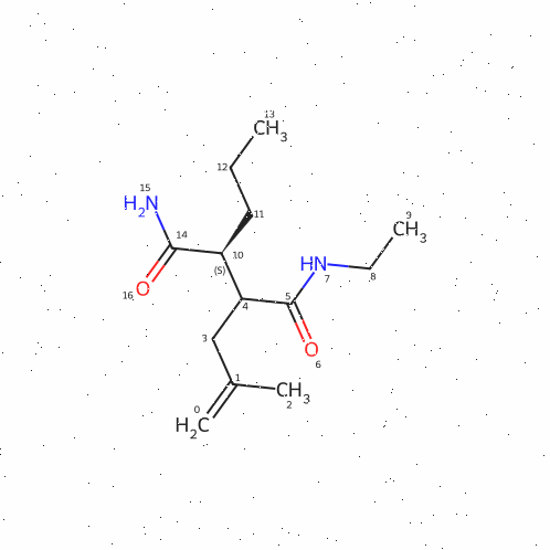 C=C(C)CC(C(=O)NCC)[C@H](CCC)C(N)=O